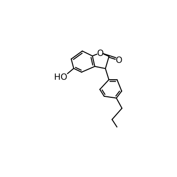 CCCc1ccc(C2C(=O)Oc3ccc(O)cc32)cc1